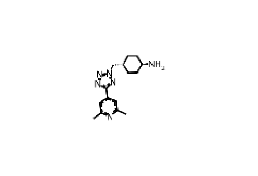 Cc1cc(-c2nnn(C[C@H]3CC[C@H](N)CC3)n2)cc(C)n1